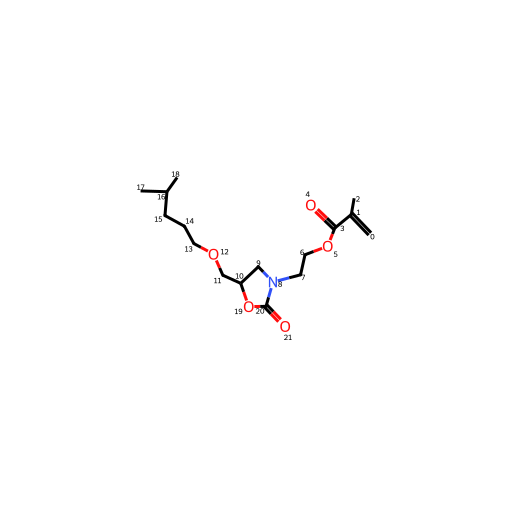 C=C(C)C(=O)OCCN1CC(COCCCC(C)C)OC1=O